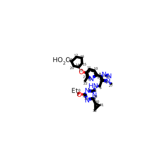 CCOc1nc(NCc2c(-c3ccc(O[C@H]4CCC[C@H](C(=O)O)C4)c(C)n3)nnn2C)nc(C2CC2)n1